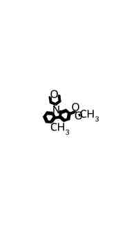 COC(=O)c1ccc2c3c(C)cccc3n(C3CCOCC3)c2c1